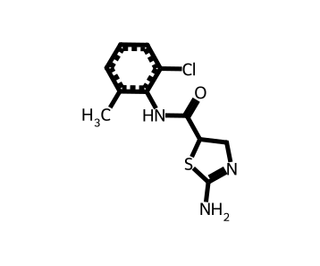 Cc1cccc(Cl)c1NC(=O)C1CN=C(N)S1